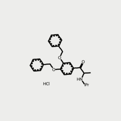 CC(C)NC(C)C(=O)c1ccc(OCc2ccccc2)c(OCc2ccccc2)c1.Cl